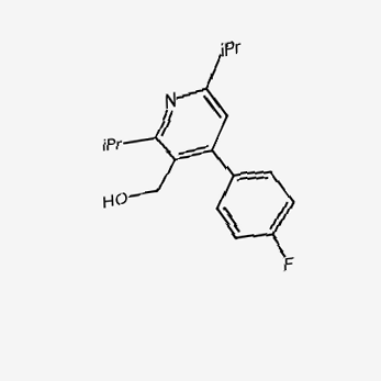 CC(C)c1cc(-c2ccc(F)cc2)c(CO)c(C(C)C)n1